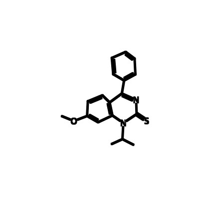 COc1ccc2c(-c3ccccc3)nc(=S)n(C(C)C)c2c1